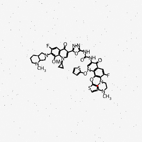 COc1c(N2CC3CCCN(C)C3C2)c(F)cc2c(=O)c(-c3nnc(NC(=O)Nc4cn(Oc5cccs5)c5c(Oc6cccs6)c(N6CCN(C)CC6)c(F)cc5c4=O)o3)cn(C3CC3)c12